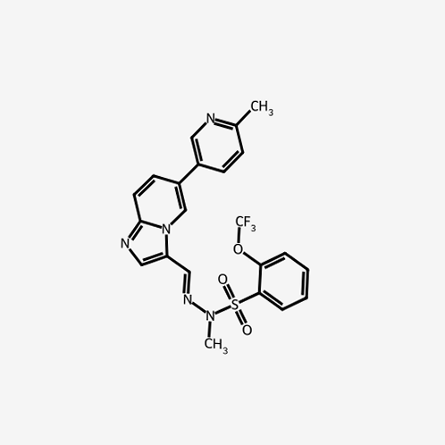 Cc1ccc(-c2ccc3ncc(C=NN(C)S(=O)(=O)c4ccccc4OC(F)(F)F)n3c2)cn1